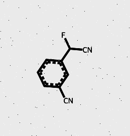 N#Cc1cccc(C(F)C#N)c1